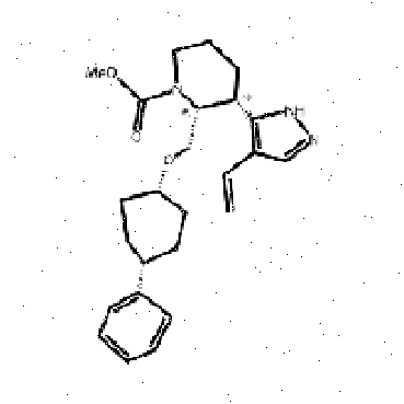 C=Cc1cn[nH]c1[C@H]1CCCN(C(=O)OC)[C@H]1CO[C@H]1CC[C@@H](c2ccccc2)CC1